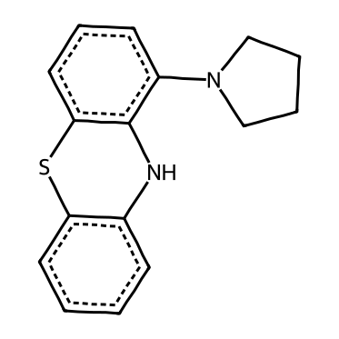 c1ccc2c(c1)Nc1c(cccc1N1CCCC1)S2